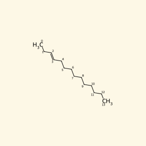 CC/C=C/CCCCCCCCCC